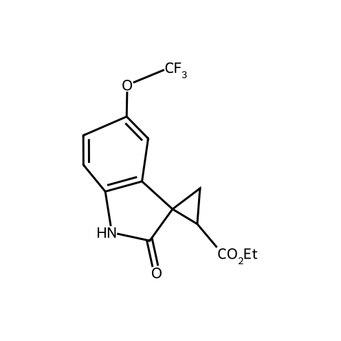 CCOC(=O)C1CC12C(=O)Nc1ccc(OC(F)(F)F)cc12